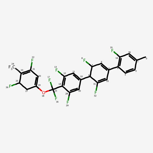 Cc1ccc(C2=CC(F)C(c3cc(F)c(C(F)(F)OC4=CC(F)=C(C(F)(F)F)C(F)C4)c(F)c3)C(F)=C2)c(F)c1